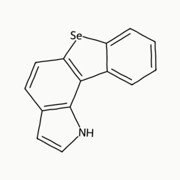 c1ccc2c(c1)[se]c1ccc3cc[nH]c3c12